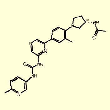 CC(=O)N[C@H]1CCN(c2ccc(-c3cncc(NC(=O)Nc4ccc(C)nc4)n3)cc2C)C1